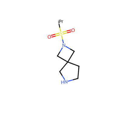 CC(C)S(=O)(=O)N1CC2(CCNC2)C1